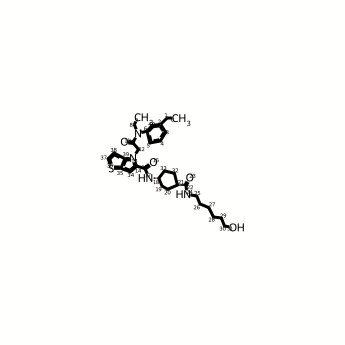 CCc1cccc(N(CC)C(=O)Cn2c(C(=O)N[C@H]3CC[C@H](C(=O)NCCCCCCO)CC3)cc3sccc32)c1